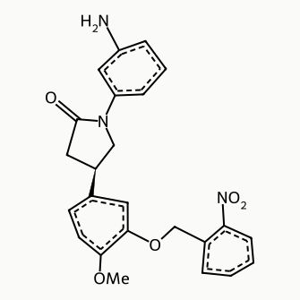 COc1ccc([C@H]2CC(=O)N(c3cccc(N)c3)C2)cc1OCc1ccccc1[N+](=O)[O-]